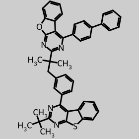 CC(C)(C)c1nc(-c2cccc(CC(C)(C)c3nc(-c4ccc(-c5ccccc5)cc4)c4c(n3)oc3ccccc34)c2)c2c(n1)sc1ccccc12